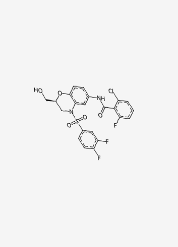 O=C(Nc1ccc2c(c1)N(S(=O)(=O)c1ccc(F)c(F)c1)C[C@@H](CO)O2)c1c(F)cccc1Cl